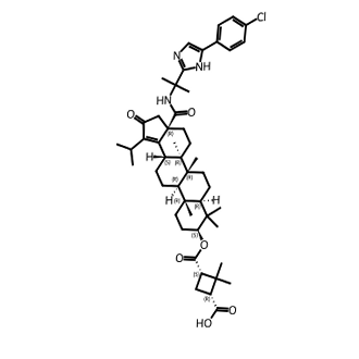 CC(C)C1=C2[C@H]3CC[C@@H]4[C@@]5(C)CC[C@H](OC(=O)[C@H]6C[C@@H](C(=O)O)C6(C)C)C(C)(C)[C@@H]5CC[C@@]4(C)[C@]3(C)CC[C@@]2(C(=O)NC(C)(C)c2ncc(-c3ccc(Cl)cc3)[nH]2)CC1=O